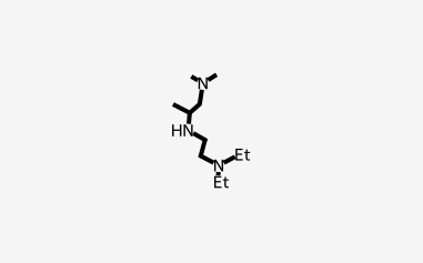 CCN(CC)CCNC(C)CN(C)C